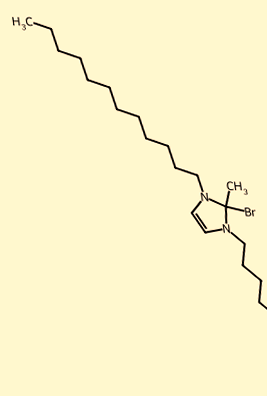 CCCCCCCCCCCCN1C=CN(CCCCCCCC)C1(C)Br